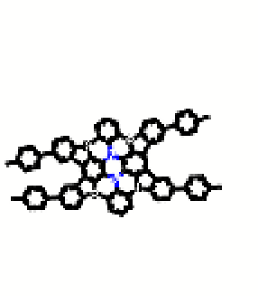 Cc1ccc(-c2ccc3c(c2)-c2c4c5c6c7c2-c2cc(-c8ccc(C)cc8)ccc2B7c2cccc7c2N6c2c6c(c8c9c2N5c2c(cccc2B9c2ccc(-c5ccc(C)cc5)cc2-8)B34)-c2cc(-c3ccc(C)cc3)ccc2B76)cc1